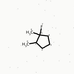 CC1CCCC1(C)F